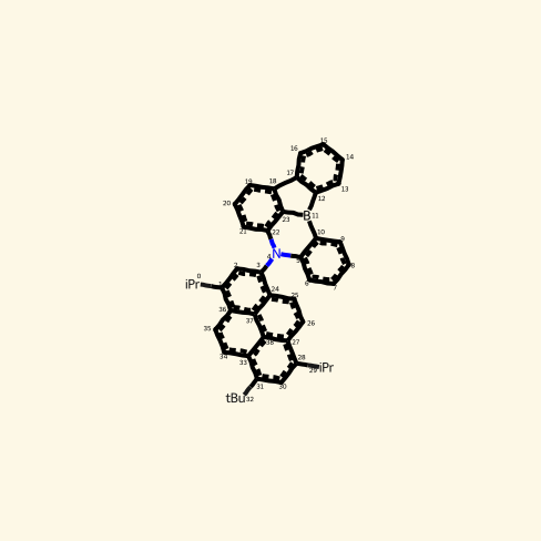 CC(C)c1cc(N2c3ccccc3B3c4ccccc4-c4cccc2c43)c2ccc3c(C(C)C)cc(C(C)(C)C)c4ccc1c2c34